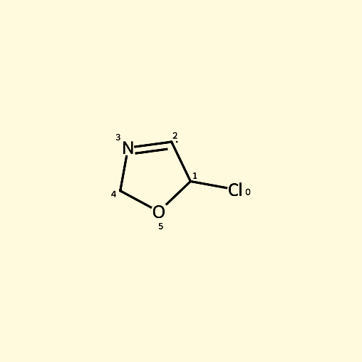 ClC1[C]=NCO1